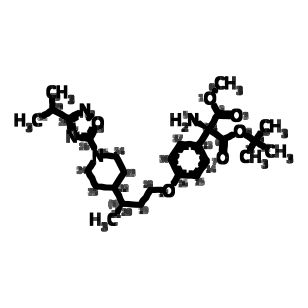 COC(=O)[C@](N)(C(=O)OC(C)(C)C)c1ccc(OCC[C@@H](C)C2CCN(c3nc(C(C)C)no3)CC2)cc1